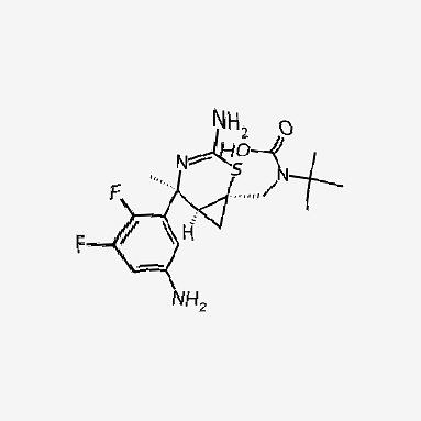 CC(C)(C)N(C[C@]12C[C@H]1[C@@](C)(c1cc(N)cc(F)c1F)N=C(N)S2)C(=O)O